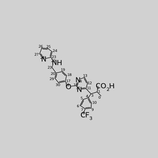 CC(C(=O)O)C(c1ccc(C(F)(F)F)cc1)c1ccnc(Oc2ccc(CNc3ccccn3)cc2)n1